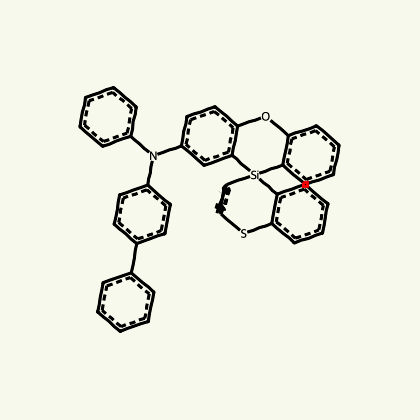 c1ccc(-c2ccc(N(c3ccccc3)c3ccc4c(c3)[Si]3(c5ccccc5O4)c4ccccc4Sc4ccccc43)cc2)cc1